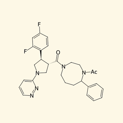 CC(=O)N1CCN(C(=O)[C@@H]2CN(c3cccnn3)C[C@H]2c2ccc(F)cc2F)CCCC1c1ccccc1